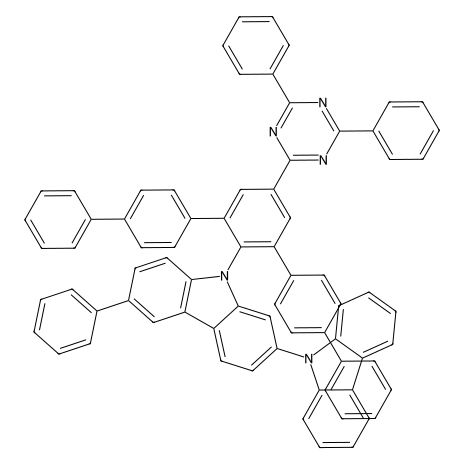 c1ccc(-c2ccc(-c3cc(-c4nc(-c5ccccc5)nc(-c5ccccc5)n4)cc(-c4ccc(-c5ccccc5)cc4)c3-n3c4ccc(-c5ccccc5)cc4c4ccc(-n5c6ccccc6c6ccccc65)cc43)cc2)cc1